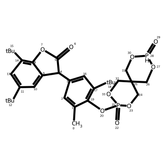 Cc1cc(C2C(=O)Oc3c2cc(C(C)(C)C)cc3C(C)(C)C)cc(C(C)(C)C)c1OP1(=O)OCC2(CO[PH](=O)OC2)CO1